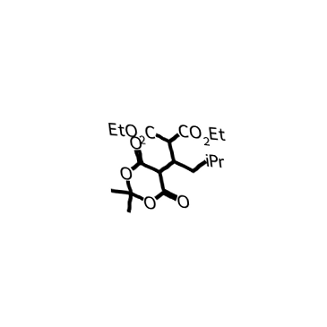 CCOC(=O)C(C(=O)OCC)C(CC(C)C)C1C(=O)OC(C)(C)OC1=O